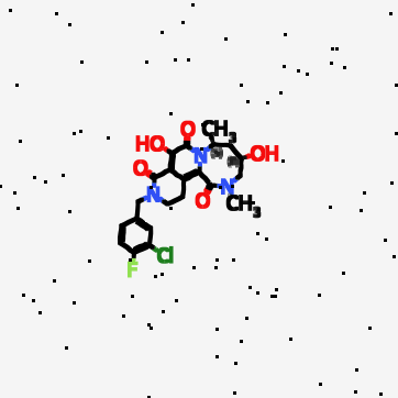 C[C@H]1C[C@@H](O)CN(C)C(=O)c2c3c(c(O)c(=O)n21)C(=O)N(Cc1ccc(F)c(Cl)c1)CC3